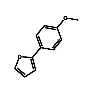 COc1c[c]c(-c2ccco2)cc1